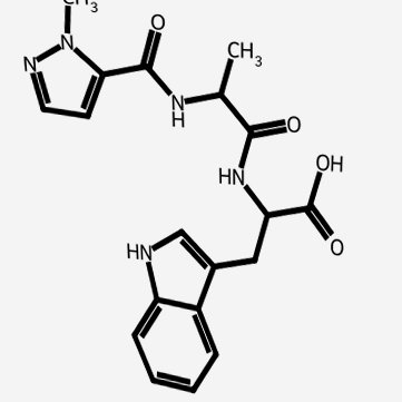 CC(NC(=O)c1ccnn1C)C(=O)NC(Cc1c[nH]c2ccccc12)C(=O)O